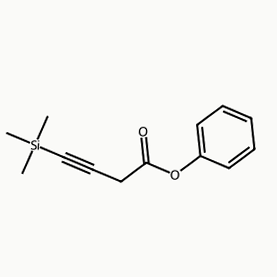 C[Si](C)(C)C#CCC(=O)Oc1ccccc1